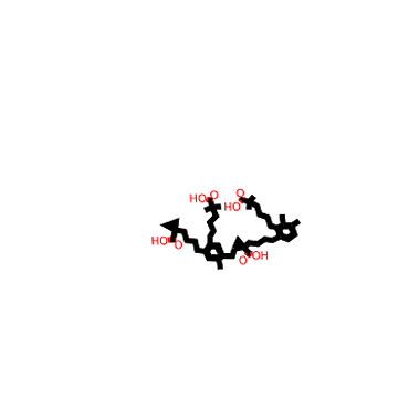 Cc1cc(CCCCC2(C(=O)O)CC2)c(CCCCC(C)(C)C(=O)O)cc1CC1CC1(CCCCc1ccc(C)c(C)c1CCCCC(C)(C)C(=O)O)C(=O)O